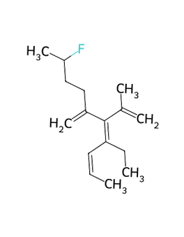 C=C(C)/C(C(=C)CCC(C)F)=C(/C=C\C)CC